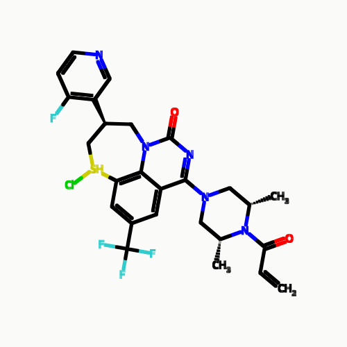 C=CC(=O)N1[C@H](C)CN(c2nc(=O)n3c4c(cc(C(F)(F)F)cc24)[SH](Cl)C[C@@H](c2cnccc2F)C3)C[C@@H]1C